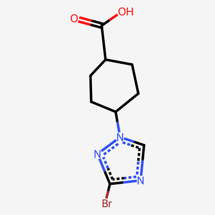 O=C(O)C1CCC(n2cnc(Br)n2)CC1